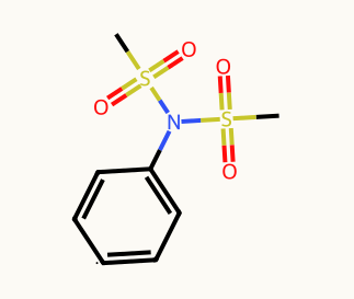 CS(=O)(=O)N(c1cc[c]cc1)S(C)(=O)=O